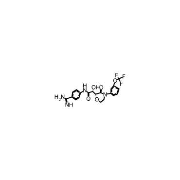 N=C(N)c1ccc(NC(=O)[C@H](O)[C@H]2OCCN(c3cccc(OC(F)(F)F)c3)C2=O)cc1